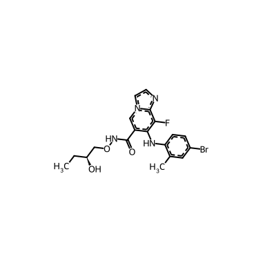 CC[C@H](O)CONC(=O)c1cn2ccnc2c(F)c1Nc1ccc(Br)cc1C